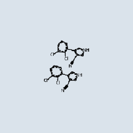 N#Cc1c[nH]cc1-c1cccc(Cl)c1Cl.N#Cc1c[nH]cc1-c1cccc(Cl)c1Cl